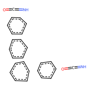 N=C=O.N=C=O.c1ccccc1.c1ccccc1.c1ccccc1.c1ccccc1